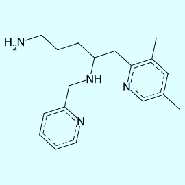 Cc1cnc(CC(CCCN)NCc2ccccn2)c(C)c1